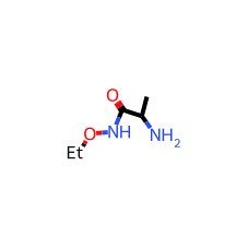 CCONC(=O)C(C)N